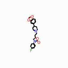 O=C1OC(CCN2CCC(c3ccc4c(c3)OCO4)CC2)CN1c1ccc(F)cc1